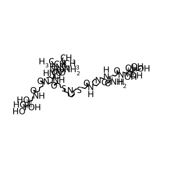 CC[C@H](C)[C@H](NC(=O)[C@H](CC(C)C)NC(=O)C1(NC(=O)CCSCc2cccc(CSCCC(=O)NC3CCN(CC(=O)N[C@H](CCC(=O)NC[C@H](O)[C@@H](O)[C@H](O)[C@H](O)CO)C(N)=O)CC3)n2)CCN(C(=O)CCCC(=O)NCC[C@@H](O)[C@H](O)[C@H](O)CO)CC1)C(N)=O